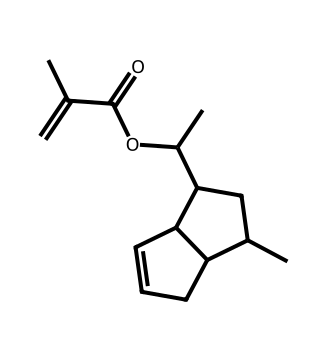 C=C(C)C(=O)OC(C)C1CC(C)C2CC=CC21